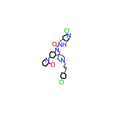 O=C(NCc1ccnc(Cl)c1)N1CC2(CCN(C/C=C/c3ccc(Cl)cc3)CC2)c2cc(-n3ccccc3=O)ccc21